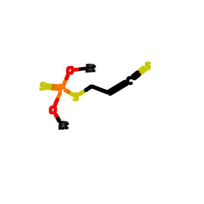 CCOP(=S)(OCC)SCC=C=S